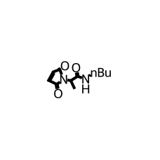 CCCCNC(=O)C(C)N1C(=O)C=CC1=O